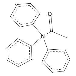 CC(=O)[N+](c1cc[c]cc1)(c1ccccc1)c1ccccc1